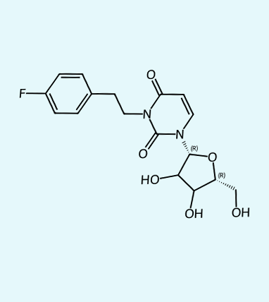 O=c1ccn([C@@H]2O[C@H](CO)C(O)C2O)c(=O)n1CCc1ccc(F)cc1